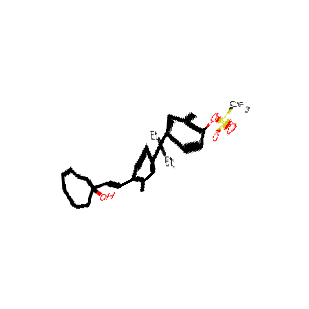 CCC(CC)(c1ccc(C=CC2(O)CCCCCC2)c(C)c1)c1ccc(OS(=O)(=O)C(F)(F)F)c(C)c1